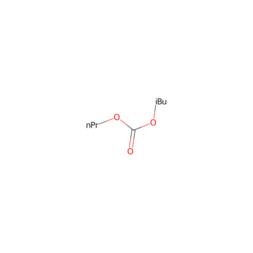 C[CH]C(C)OC(=O)OCCC